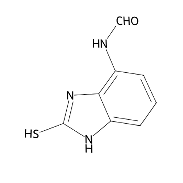 O=CNc1cccc2[nH]c(S)nc12